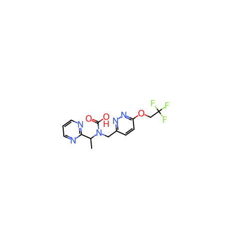 CC(c1ncccn1)N(Cc1ccc(OCC(F)(F)F)nn1)C(=O)O